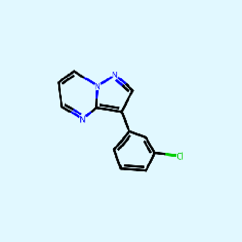 Clc1cccc(-c2cnn3cccnc23)c1